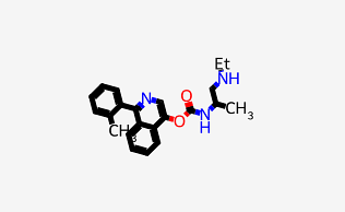 CCNCC(C)NC(=O)Oc1cnc(-c2ccccc2C)c2ccccc12